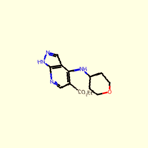 CCOC(=O)c1cnc2[nH]ncc2c1NC1CCOCC1